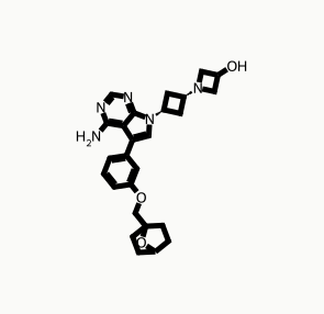 Nc1ncnc2c1c(-c1cccc(OCC34CCC(CC3)O4)c1)cn2[C@H]1C[C@@H](N2CC(O)C2)C1